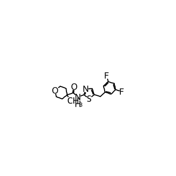 CC1(C(=O)Nc2ncc(Cc3cc(F)cc(F)c3)s2)CCOCC1